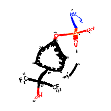 CCCC.NP(=O)(O)Oc1ccc(C(O)(C(F)(F)F)C(F)(F)F)cc1